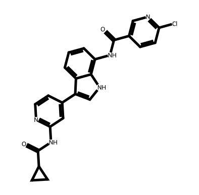 O=C(Nc1cccc2c(-c3ccnc(NC(=O)C4CC4)c3)c[nH]c12)c1ccc(Cl)nc1